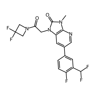 Cn1c(=O)n(CC(=O)N2CC(F)(F)C2)c2cc(-c3ccc(F)c(C(F)F)c3)cnc21